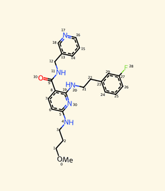 COCCCNc1ccc(C(=O)NCc2cccnc2)c(NCCc2cccc(F)c2)n1